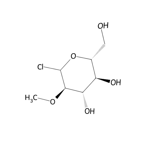 CO[C@H]1C(Cl)O[C@H](CO)[C@@H](O)[C@@H]1O